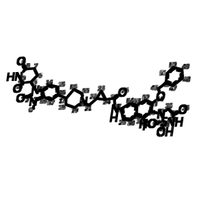 Cn1c(=O)n(C2CCC(=O)NC2=O)c2ccc(C3CCN(CC4CC4C(=O)Nc4ccc5c(F)c(N6CC(=O)NS6(O)O)c(OCc6ccccc6)cc5c4)CC3)cc21